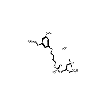 CCCCCOc1cc(OC)cc(OCCCCOP(=O)(O)O[C@H](CC(=O)O)C[N+](C)(C)C)c1.[OH-]